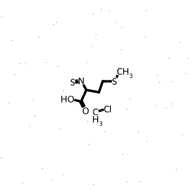 CCl.CSCCC(N=S)C(=O)O